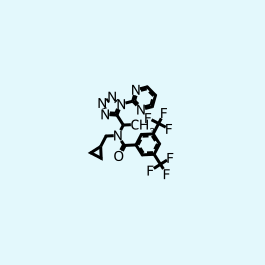 CC(c1nnnn1-c1ncccn1)N(CC1CC1)C(=O)c1cc(C(F)(F)F)cc(C(F)(F)F)c1